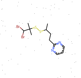 CC(CCc1ncccn1)SSC(C)(C)C(Br)Br